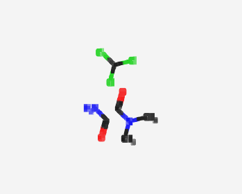 CN(C)C=O.ClC(Cl)Cl.NC=O